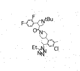 CCc1nnnn1C(C)c1cc(Cl)c(C)cc1C1CCN(C(=O)C2CN(C(C)(C)C)CC2c2ccc(F)cc2F)CC1